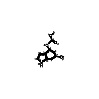 COC(=O)Oc1cc(Br)cc2[nH]ccc12